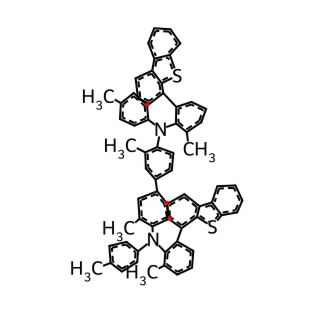 Cc1ccc(N(c2ccc(-c3ccc(N(c4ccc(C)cc4)c4c(C)cccc4-c4cccc5c4sc4ccccc45)c(C)c3)cc2C)c2c(C)cccc2-c2cccc3c2sc2ccccc23)cc1